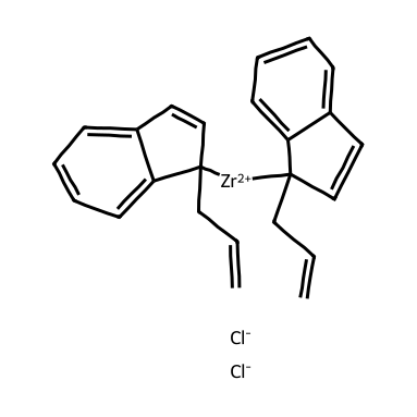 C=CC[C]1([Zr+2][C]2(CC=C)C=Cc3ccccc32)C=Cc2ccccc21.[Cl-].[Cl-]